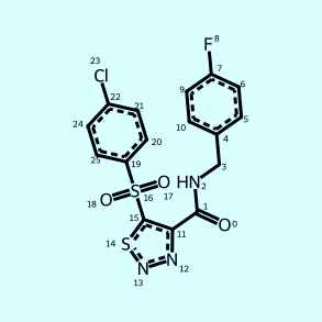 O=C(NCc1ccc(F)cc1)c1nnsc1S(=O)(=O)c1ccc(Cl)cc1